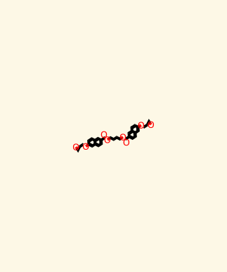 O=C(OCCCCOC(=O)c1ccc2cc(OCC3CO3)ccc2c1)c1ccc2cc(OCC3CO3)ccc2c1